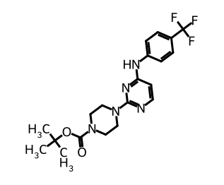 CC(C)(C)OC(=O)N1CCN(c2nccc(Nc3ccc(C(F)(F)F)cc3)n2)CC1